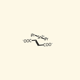 C[CH](C)[Sn+2][CH](C)C.O=C([O-])C=CC(=O)[O-]